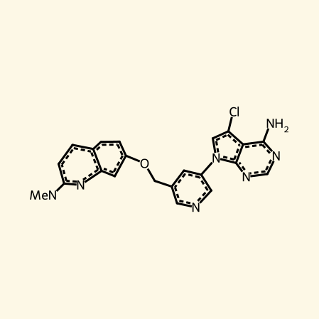 CNc1ccc2ccc(OCc3cncc(-n4cc(Cl)c5c(N)ncnc54)c3)cc2n1